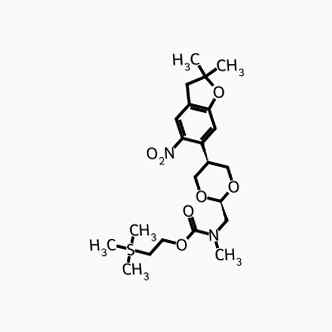 CN(C[C@H]1OC[C@@H](c2cc3c(cc2[N+](=O)[O-])CC(C)(C)O3)CO1)C(=O)OCCS(C)(C)C